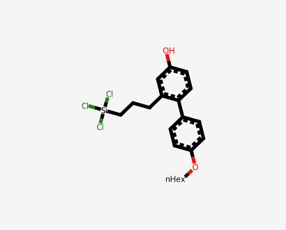 CCCCCCOc1ccc(-c2ccc(O)cc2CCC[Si](Cl)(Cl)Cl)cc1